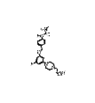 CNC(=O)Nc1ccc(COc2cc(F)cc(N3CCN(CCO)CC3)c2)cc1